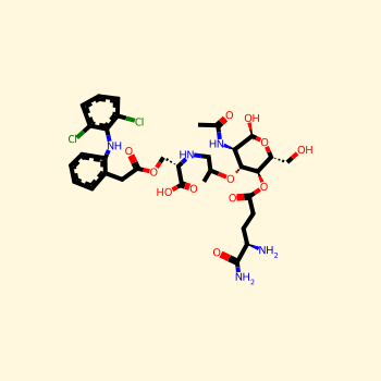 CC(=O)N[C@@H]1[C@@H](OC(C)CN[C@@H](COC(=O)Cc2ccccc2Nc2c(Cl)cccc2Cl)C(=O)O)[C@H](OC(=O)CC[C@@H](N)C(N)=O)[C@@H](CO)O[C@@H]1O